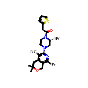 CCC[C@@H]1CN(c2nc(C(C)C)c3c(c2C#N)CC(C)(C)OC3)CCN1C(=O)Cc1cccs1